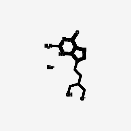 Nc1nc(=O)c2ncn(CCC(C[O-])CO)c2[nH]1.[Na+]